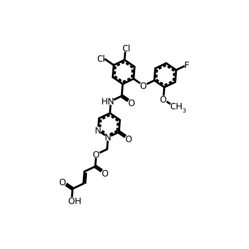 COc1cc(F)ccc1Oc1cc(Cl)c(Cl)cc1C(=O)Nc1cnn(COC(=O)/C=C/C(=O)O)c(=O)c1